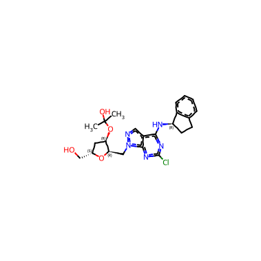 CC(C)(O)O[C@@H]1C[C@@H](CO)O[C@@H]1Cn1ncc2c(N[C@@H]3CCc4ccccc43)nc(Cl)nc21